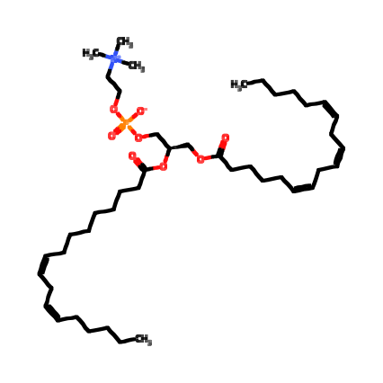 CCCCC/C=C\C/C=C\C/C=C\CCCCC(=O)OC[C@H](COP(=O)([O-])OCC[N+](C)(C)C)OC(=O)CCCCCCC/C=C\C/C=C\CCCCC